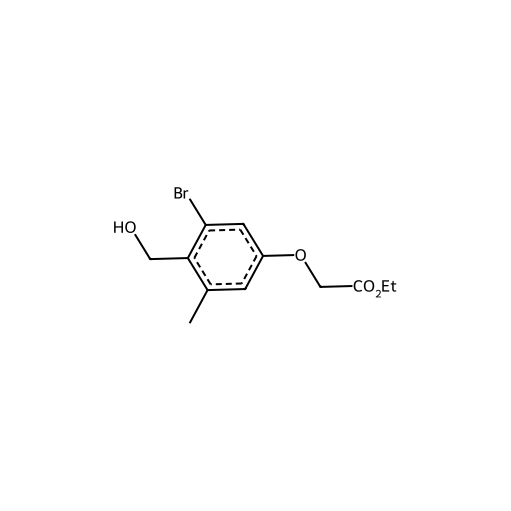 CCOC(=O)COc1cc(C)c(CO)c(Br)c1